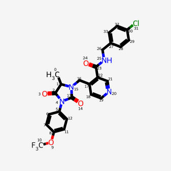 CC1C(=O)N(c2ccc(OC(F)(F)F)cc2)C(=O)N1Cc1ccncc1C(=O)NCc1ccc(Cl)cc1